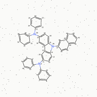 c1ccc(N(c2ccccc2)c2ccc3c(c2)c2cc(N(c4ccccc4)c4ccccc4)ccc2n3-c2ccc3ccccc3c2)cc1